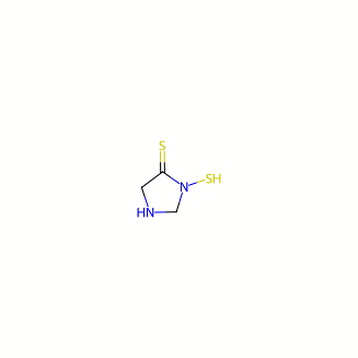 S=C1CNCN1S